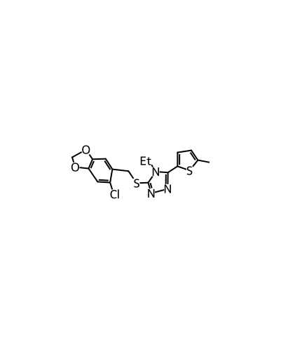 CCn1c(SCc2cc3c(cc2Cl)OCO3)nnc1-c1ccc(C)s1